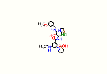 CCNc1cc(C(=O)N[C@@H](Cc2nccs2)[C@@H](O)CNCc2cccc(OC)c2)cc(N2CCCCS2(O)O)c1.Cl